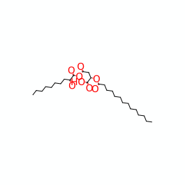 CCCCCCCCCCCCCC(=O)OC(CC(=O)OC(=O)C(=O)CCCCCCCC)C(=O)O